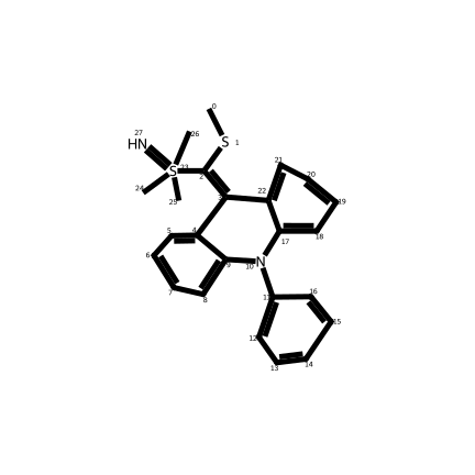 CSC(=C1c2ccccc2N(c2ccccc2)c2ccccc21)S(C)(C)(C)=N